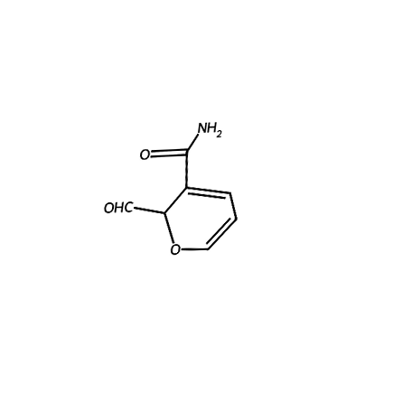 NC(=O)C1=CC=COC1C=O